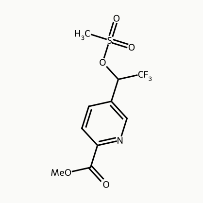 COC(=O)c1ccc(C(OS(C)(=O)=O)C(F)(F)F)cn1